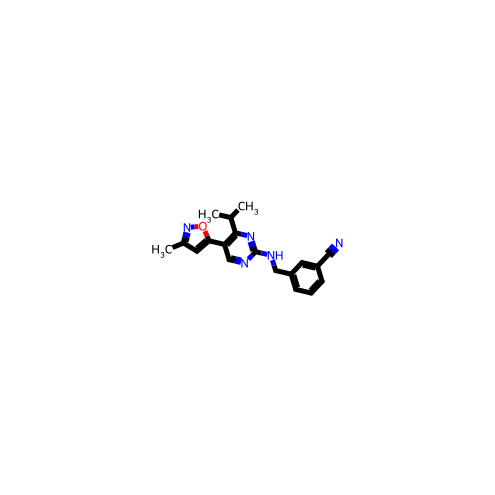 Cc1cc(-c2cnc(NCc3cccc(C#N)c3)nc2C(C)C)on1